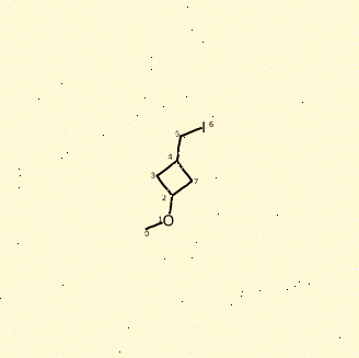 COC1CC(CI)C1